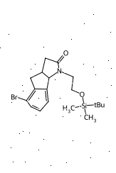 CC(C)(C)[Si](C)(C)OCCN1C(=O)CC2Cc3c(Br)cccc3C21